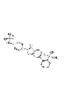 CC(C)(O)c1ccccc1-c1ccc2[nH]c(-c3ccc(NS(=O)(=O)C(F)(F)F)cc3)nc2c1